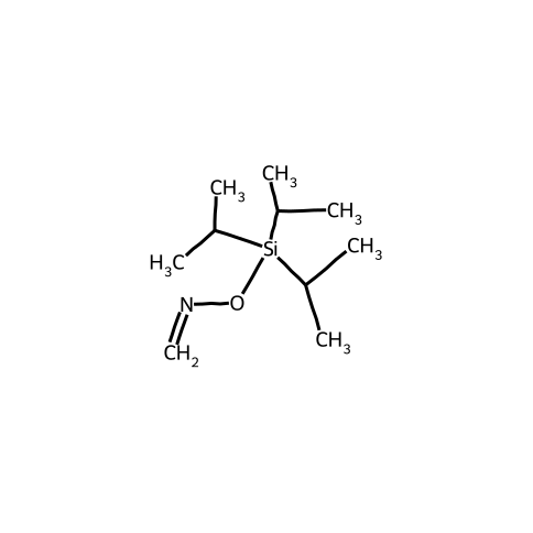 C=NO[Si](C(C)C)(C(C)C)C(C)C